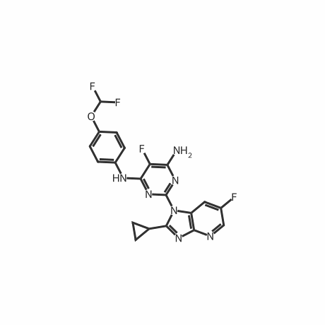 Nc1nc(-n2c(C3CC3)nc3ncc(F)cc32)nc(Nc2ccc(OC(F)F)cc2)c1F